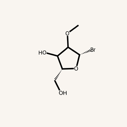 COC1C(O)[C@@H](CO)O[C@H]1Br